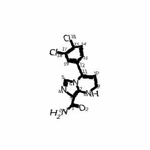 NC(=O)c1ncn2c1NCC=C2c1ccc(Cl)c(Cl)c1